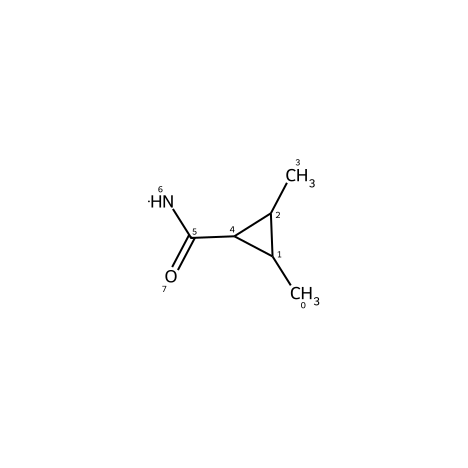 CC1C(C)C1C([NH])=O